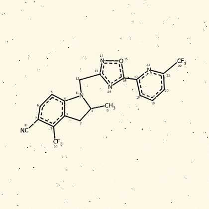 CC1Cc2c(ccc(C#N)c2C(F)(F)F)N1Cc1noc(-c2cccc(C(F)(F)F)n2)n1